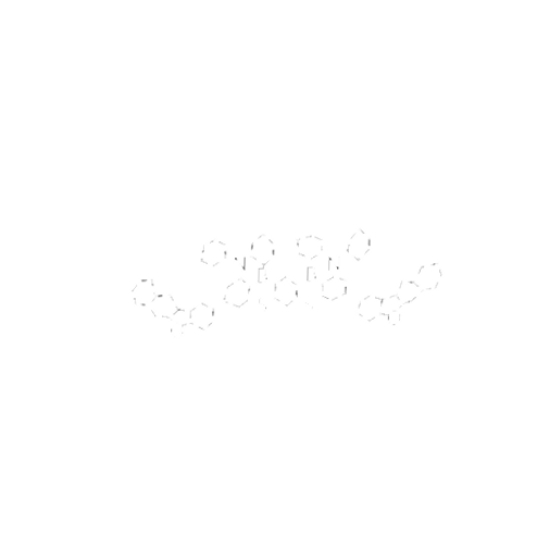 c1ccc(N2c3ccccc3B3c4cc5c(cc4Sc4cc(-c6ccc7oc8cc9ccccc9cc8c7c6)cc2c43)Sc2cc(-c3ccc4oc6cc7ccccc7cc6c4c3)cc3c2B5c2ccccc2N3c2ccccc2)cc1